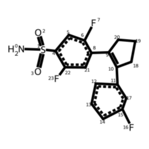 NS(=O)(=O)c1cc(F)c(C2=C(c3cccc(F)c3)CCC2)cc1F